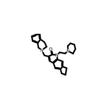 O=c1c(CN2CCc3ccccc3C2)cc2cc3c(cc2n1CCN1CCCCC1)CCC3